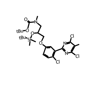 Cc1c(Cl)nc(-c2cc(OCC(CN(C)C(=O)OC(C)(C)C)O[Si](C)(C)C(C)(C)C)ccc2Cl)nc1Cl